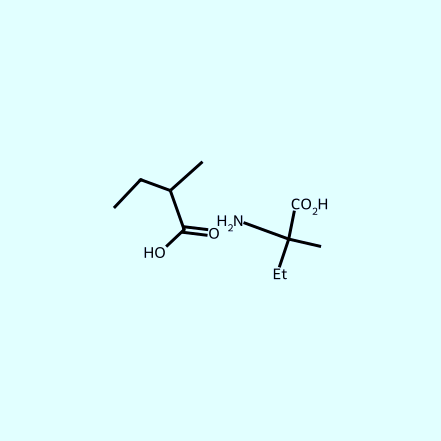 CCC(C)(N)C(=O)O.CCC(C)C(=O)O